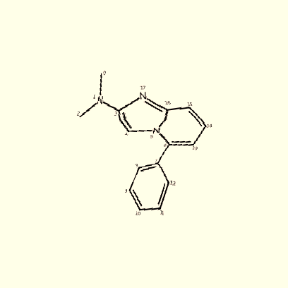 CN(C)c1cn2c(-c3ccccc3)cccc2n1